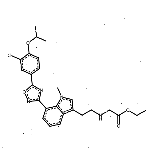 CCOC(=O)CNCCc1cn(C)c2c(-c3noc(-c4ccc(OC(C)C)c(Cl)c4)n3)cccc12